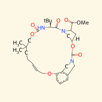 COC(=O)C1C[C@@H]2CN1C(=O)[C@H](C(C)(C)C)NC(=O)OCC(C)(C)CC/C=C/COc1cccc3c1CN(C3)C(=O)O2